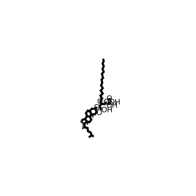 CCCCCCCCCCCCCCCCOC(COP(=O)(O)O)C(OC1CC[C@@]2(C)C(=CCC3C2CC[C@@]2(C)C3CC[C@@H]2[C@H](C)CCCC(C)C)C1)C(=O)O